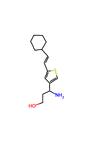 NC(CCO)c1csc(/C=C/C2CCCCC2)c1